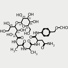 CC(NC(=O)C(C)NC(=O)[C@H](O)[C@H](O)C(O[C@@H]1O[C@H](CO)[C@H](O)[C@H](O)[C@H]1O)[C@H](O)CO)C(=O)NC(CC(N)=O)C(=O)Nc1ccc(COC=O)cc1